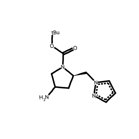 CC(C)(C)OC(=O)N1CC(N)C[C@@H]1Cn1cccn1